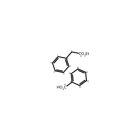 CCOC(=O)Cc1ccccc1.O=C(O)c1ccccc1